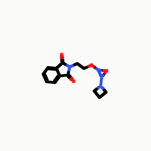 O=C1c2ccccc2C(=O)N1CCOn1on1N1CCC1